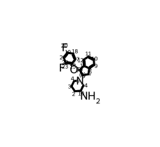 NC1CCCN([C@@H]2Cc3ccccc3[C@H]2Oc2ccc(F)cc2F)C1